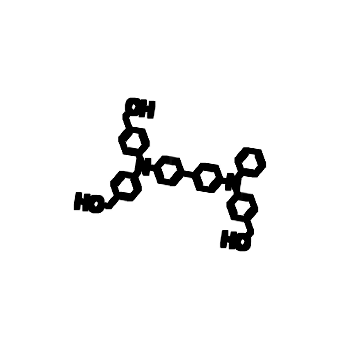 OCc1ccc(N(c2ccccc2)c2ccc(-c3ccc(N(c4ccc(CO)cc4)c4ccc(CO)cc4)cc3)cc2)cc1